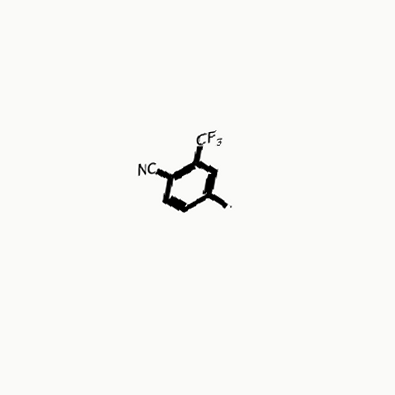 [CH2]c1ccc(C#N)c(C(F)(F)F)c1